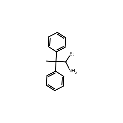 CCC(N)C(C)(c1ccccc1)c1ccccc1